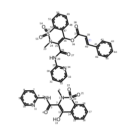 CN1C(C(=O)Nc2ccccn2)=C(O)c2ccccc2S1(=O)=O.CN1C(C(=O)Nc2ccccn2)=C(OC(=O)/C=C/c2ccccc2)c2ccccc2S1(=O)=O